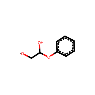 [O]CC(O)Oc1ccccc1